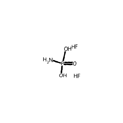 F.F.NP(=O)(O)O